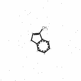 CC1=C[C]c2ccccc21